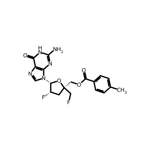 Cc1ccc(C(=O)OC[C@]2(CF)C[C@H](F)[C@H](n3cnc4c(=O)[nH]c(N)nc43)O2)cc1